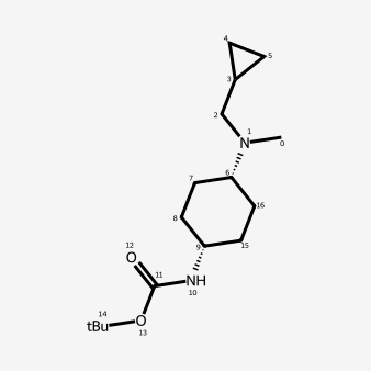 CN(CC1CC1)[C@H]1CC[C@@H](NC(=O)OC(C)(C)C)CC1